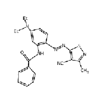 CCN(CC)c1ccc(/N=N/c2snc(C)c2C#N)c(NC(=O)c2ccccc2)c1